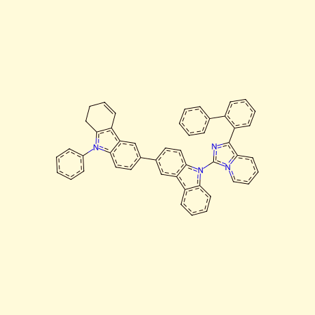 C1=Cc2c(n(-c3ccccc3)c3ccc(-c4ccc5c(c4)c4ccccc4n5-c4nc(-c5ccccc5-c5ccccc5)c5ccccn45)cc23)CC1